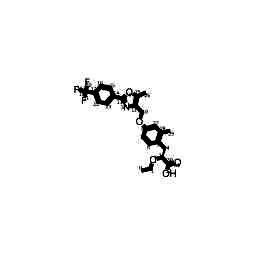 CCO[C@@H](Cc1ccc(OCc2nc(-c3ccc(C(F)(F)F)cc3)oc2C)cc1C)C(=O)O